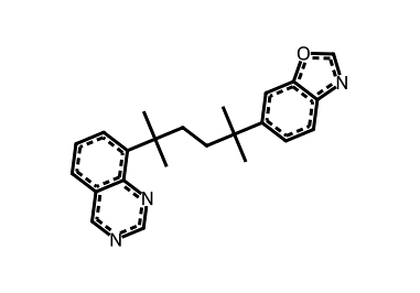 CC(C)(CCC(C)(C)c1cccc2cncnc12)c1ccc2ncoc2c1